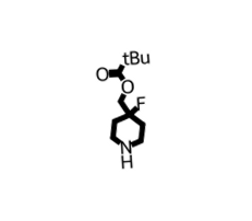 CC(C)(C)C(=O)OCC1(F)CCNCC1